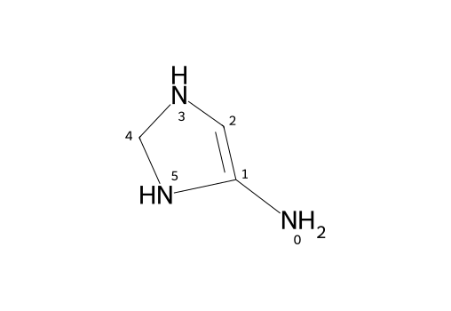 NC1=CNCN1